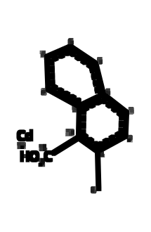 Cc1ccc2ccccc2c1C(=O)O.[Cd]